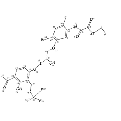 CCOC(=O)C(=O)Nc1cc(OCC(O)COc2ccc(C(C)=O)c(O)c2CCC(F)(F)F)c(Br)cc1C